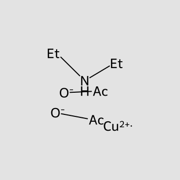 CC(=O)[O-].CC(=O)[O-].CCNCC.[Cu+2]